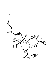 C[C@H](O)[C@H]1O[C@@H]2SC(NCCF)=N[C@@H]2[C@@H](O)[C@@H]1OC(=O)C(F)(F)F